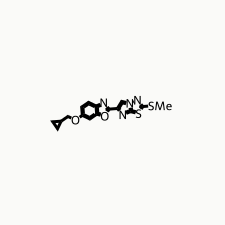 CSc1nn2cc(-c3nc4ccc(OCC5CC5)cc4o3)nc2s1